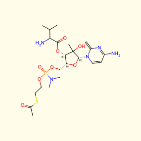 C=C1N=C(N)C=CN1[C@@H]1O[C@H](COP(=O)(OCCSC(C)=O)N(C)C)[C@H](OC(=O)C(N)C(C)C)C1(C)O